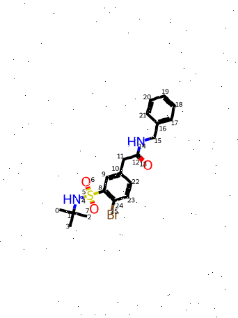 CC(C)(C)NS(=O)(=O)c1cc(CC(=O)NCc2ccccc2)ccc1Br